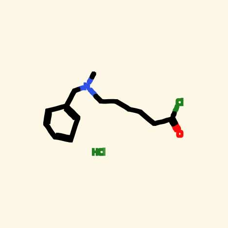 CN(CCCCCC(=O)Cl)Cc1ccccc1.Cl